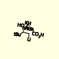 O=C(O)CC(=O)O.[KH].[Li][CH2]C(CCCCCCCCC)C(C)(C)C